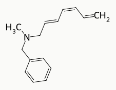 C=C/C=C\C=C\CN(C)Cc1ccccc1